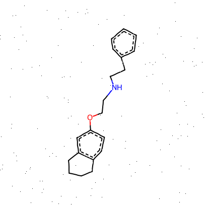 c1ccc(CCNCCOc2ccc3c(c2)CCCC3)cc1